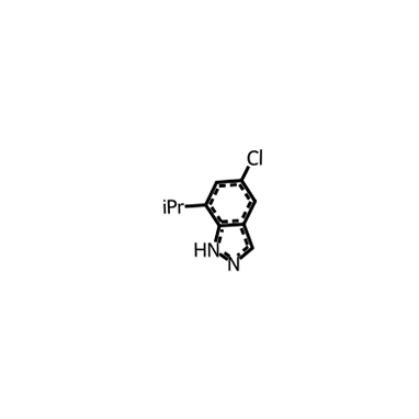 CC(C)c1cc(Cl)cc2cn[nH]c12